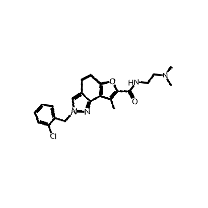 Cc1c(C(=O)NCCN(C)C)oc2c1-c1nn(Cc3ccccc3Cl)cc1CC2